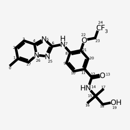 Cc1ccc2nc(Nc3ccc(C(=O)NC(C)(C)CO)cc3OCC(F)(F)F)nn2c1